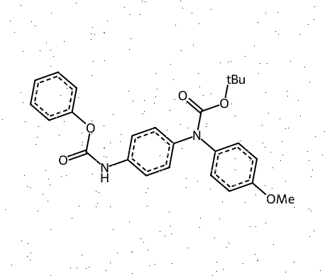 COc1ccc(N(C(=O)OC(C)(C)C)c2ccc(NC(=O)Oc3ccccc3)cc2)cc1